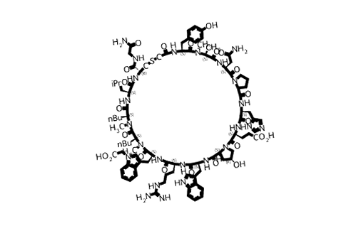 CCCC[C@H]1C(=O)N(C)[C@@H](CCCC)C(=O)N[C@@H](CC(C)C)C(=O)N[C@H](C(=O)NCC(N)=O)CSCC(=O)N[C@@H](Cc2ccc(O)cc2)C(=O)N(C)[C@@H](C)C(=O)N[C@@H](CC(N)=O)C(=O)N2CCCC2C(=O)N[C@@H](Cc2cnc[nH]2)C(=O)N[C@@H](CCC(=O)O)C(=O)N2C[C@H](O)C[C@H]2C(=O)N[C@@H](Cc2c[nH]c3ccccc23)C(=O)N[C@@H](CCCNC(=N)N)C(=O)N[C@@H](Cc2cn(CC(=O)O)c3ccccc23)C(=O)N1C